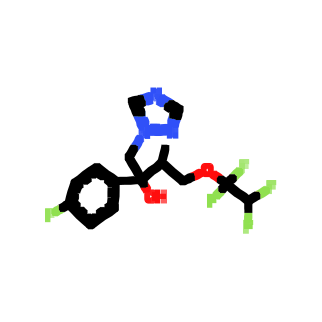 CC(COC(F)(F)C(F)F)C(O)(Cn1cncn1)c1ccc(F)cc1